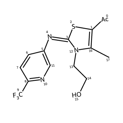 CC(=O)c1sc(=Nc2ccc(C(F)(F)F)nc2)n(CCO)c1C